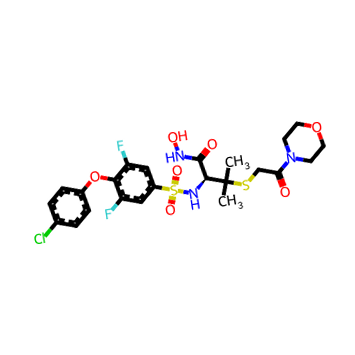 CC(C)(SCC(=O)N1CCOCC1)[C@@H](NS(=O)(=O)c1cc(F)c(Oc2ccc(Cl)cc2)c(F)c1)C(=O)NO